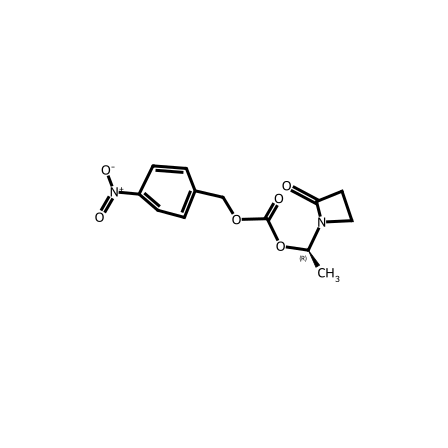 C[C@@H](OC(=O)OCc1ccc([N+](=O)[O-])cc1)N1CCC1=O